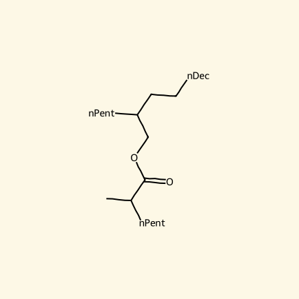 CCCCCCCCCCCCC(CCCCC)COC(=O)C(C)CCCCC